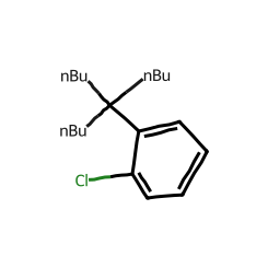 CCCCC(CCCC)(CCCC)c1ccccc1Cl